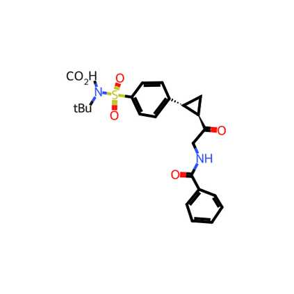 CC(C)(C)N(C(=O)O)S(=O)(=O)c1ccc([C@@H]2C[C@H]2C(=O)CNC(=O)c2ccccc2)cc1